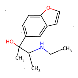 CCNC(C)C(C)(O)c1ccc2occc2c1